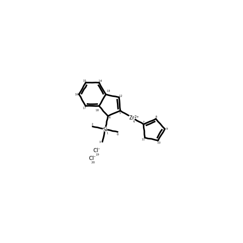 C[Si](C)(C)C1[C]([Zr+2][C]2=CC=CC2)=Cc2ccccc21.[Cl-].[Cl-]